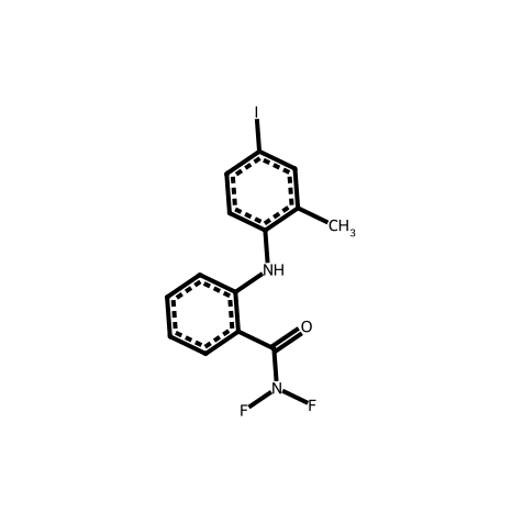 Cc1cc(I)ccc1Nc1ccccc1C(=O)N(F)F